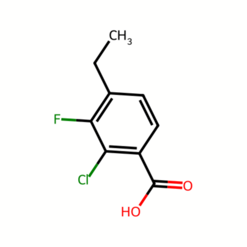 CCc1ccc(C(=O)O)c(Cl)c1F